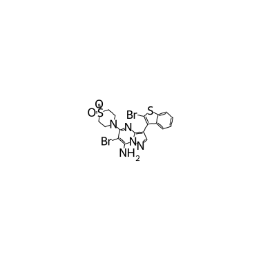 Nc1c(Br)c(N2CCS(=O)(=O)CC2)nc2c(-c3c(Br)sc4ccccc34)cnn12